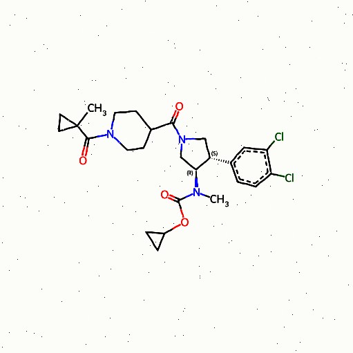 CN(C(=O)OC1CC1)[C@H]1CN(C(=O)C2CCN(C(=O)C3(C)CC3)CC2)C[C@@H]1c1ccc(Cl)c(Cl)c1